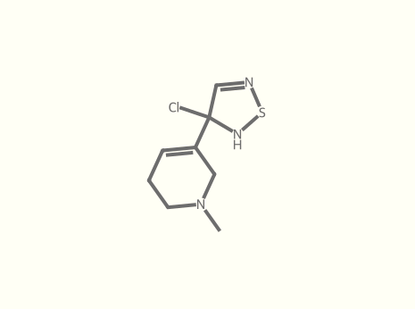 CN1CCC=C(C2(Cl)C=NSN2)C1